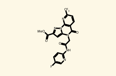 COC(=O)c1cc2n(CC(=O)Nc3ccc(F)cn3)c(=O)c3ccc(C(F)(F)F)nc3n2n1